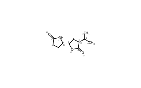 CC(C)[C@@H]1CC([C@@H]2CCC(=O)N2)OC1=O